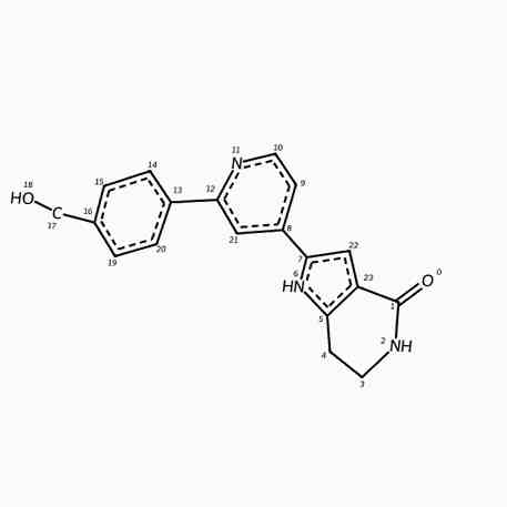 O=C1NCCc2[nH]c(-c3ccnc(-c4ccc(CO)cc4)c3)cc21